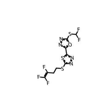 FC(F)=C(F)CCSc1nnc(-c2nnc(SC(F)F)o2)s1